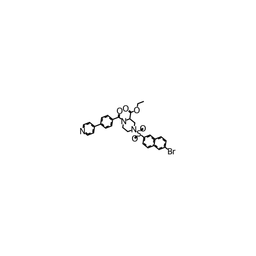 CCOC(=O)C1CN(S(=O)(=O)c2ccc3cc(Br)ccc3c2)CCN1C(=O)c1ccc(-c2ccncc2)cc1